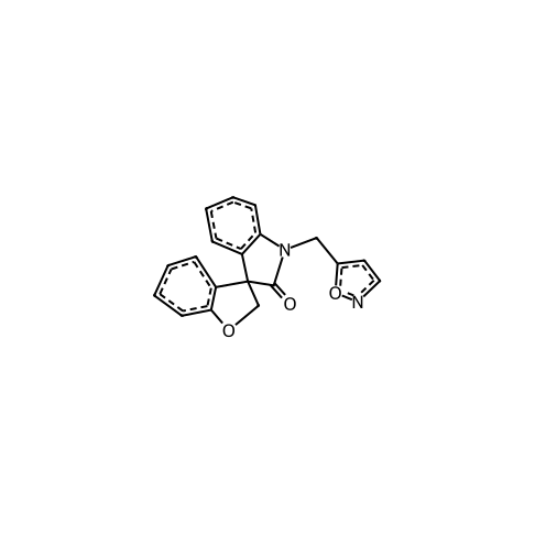 O=C1N(Cc2ccno2)c2ccccc2C12COc1ccccc12